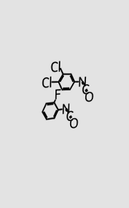 O=C=Nc1ccc(Cl)c(Cl)c1.O=C=Nc1ccccc1F